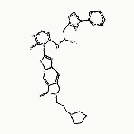 CC(Cc1ccc(-c2ccccc2)s1)Nc1cc[nH]c(=O)c1C1=NC2C=C3CN(CCCN4CCCC4)C(=O)C3=CC2N1